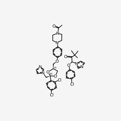 CC(=O)N1CCN(c2ccc(OC[C@H]3CO[C@](Cn4ccnc4)(c4ccc(Cl)cc4Cl)O3)cc2)CC1.CC(C)(C)C(=O)C(Oc1ccc(Cl)cc1)n1ccnc1